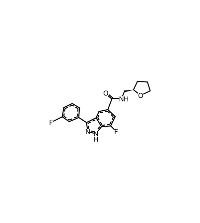 O=C(NC[C@H]1CCCO1)c1cc(F)c2[nH]nc(-c3cccc(F)c3)c2c1